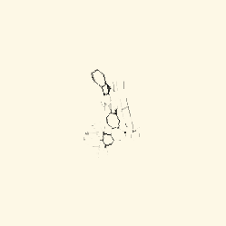 COc1cc2c(c(OC)c1OC)-c1ccc(N3CCc4c([nH]c5ccccc45)C3)c(=O)cc1[C@@H](NC(C)=O)CC2